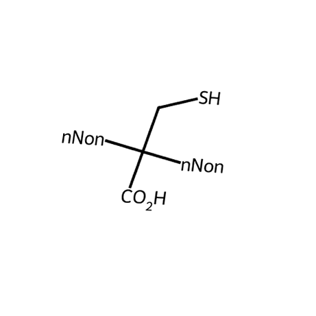 CCCCCCCCCC(CS)(CCCCCCCCC)C(=O)O